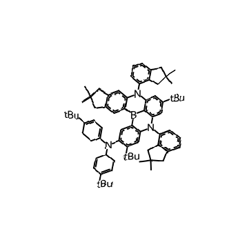 CC1(C)Cc2cc3c(cc2C1)N(c1cccc2c1CC(C)(C)C2)c1cc(C(C)(C)C)cc2c1B3c1cc(N(C3=CC=C(C(C)(C)C)CC3)C3C=CC(C(C)(C)C)=CC3)c(C(C)(C)C)cc1N2c1cccc2c1CC(C)(C)C2